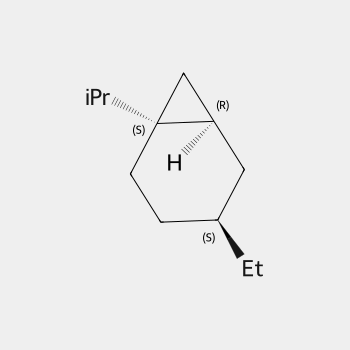 CC[C@H]1CC[C@@]2(C(C)C)C[C@H]2C1